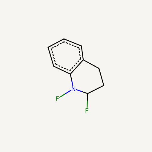 FC1CCc2ccccc2N1F